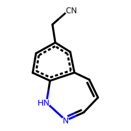 N#CCc1ccc2c(c1)C=CC=NN2